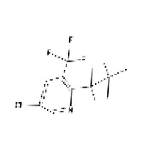 CC(C)(C)C(C)(C)c1ncc(Cl)cc1C(F)(F)F